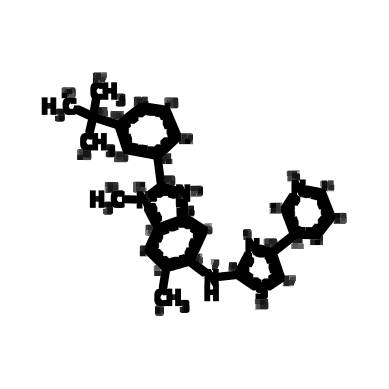 Cc1cc2c(cc1Nc1nc(-c3cccnc3)cs1)nc(-c1cccc(C(C)(C)C)c1)n2C